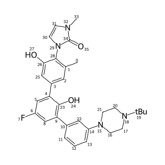 Cc1cc(-c2cc(F)cc(-c3cccc(N4CCN(C(C)(C)C)CC4)c3)c2O)cc(O)c1-n1ccn(C)c1=O